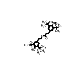 CC(C)(C)c1cc(CCOC(=O)CCc2cc(C(C)(C)C)c(O)c(C(C)(C)C)c2)cc(C(C)(C)C)c1O